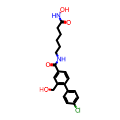 O=C(CCCCCNC(=O)c1ccc(-c2ccc(Cl)cc2)c(CO)c1)NO